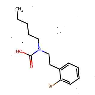 CCCCCN(CCc1ccccc1Br)C(=O)O